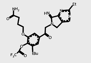 CCc1ccc2c(n1)C(=N)N(CC(=O)c1cc(OCCCC(N)=O)c(OC(=O)C(F)(F)F)c(C(C)(C)C)c1)C2